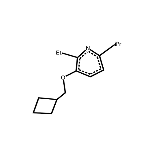 CCc1nc(C(C)C)ccc1OCC1CCC1